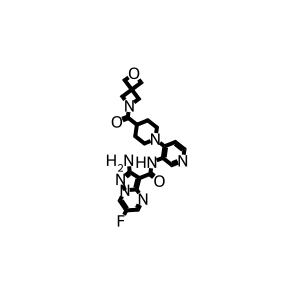 Nc1nn2cc(F)cnc2c1C(=O)Nc1cnccc1N1CCC(C(=O)N2CC3(COC3)C2)CC1